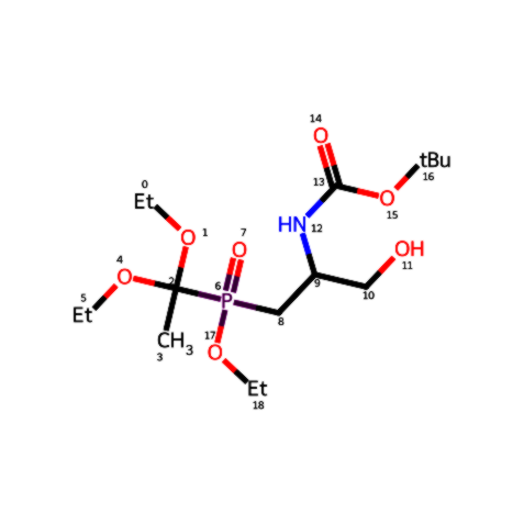 CCOC(C)(OCC)P(=O)(CC(CO)NC(=O)OC(C)(C)C)OCC